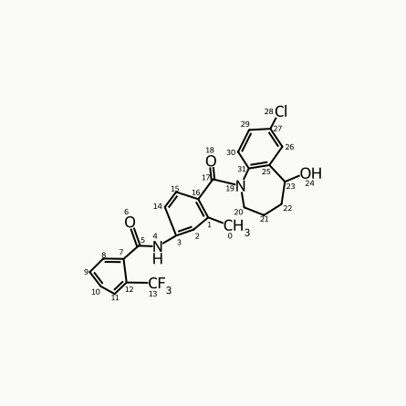 Cc1cc(NC(=O)c2ccccc2C(F)(F)F)ccc1C(=O)N1CCCC(O)c2cc(Cl)ccc21